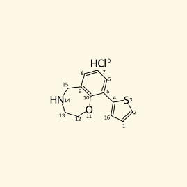 Cl.c1csc(-c2cccc3c2OCCNC3)c1